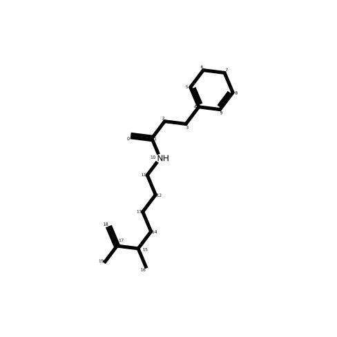 C=C(CCC1=CCCC=C1)NCCCCC(C)C(=C)C